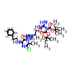 CC1=C(Cl)N=C(NCCc2ccccc2)C(=O)[N+]1(C)CNCCONC(=N)N(C(=O)OC(C)(C)C)C(=O)OC(C)(C)C